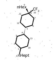 CCCCCCCC1CCC([C@H]2CC[C@@](CCCCCC)(C(F)(F)F)CC2)CC1